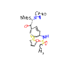 CSC(NC=O)C(=O)c1ccc(NS(C)(=O)=O)c([SH]2C=CC=C2)c1